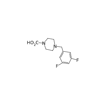 O=C(O)N1CCN(Cc2cc(F)cc(F)c2)CC1